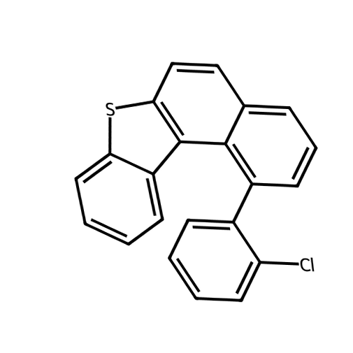 Clc1ccccc1-c1cccc2ccc3sc4ccccc4c3c12